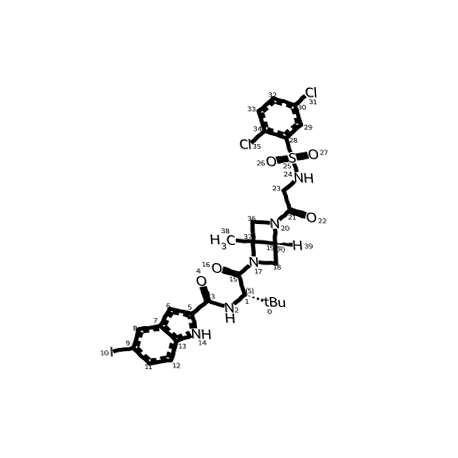 CC(C)(C)[C@H](NC(=O)c1cc2cc(I)ccc2[nH]1)C(=O)N1C[C@H]2N(C(=O)CNS(=O)(=O)c3cc(Cl)ccc3Cl)CC21C